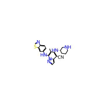 Cc1c(N[C@H]2CCCNC2)c(C#N)c2ccnn2c1Nc1ccc2ncsc2c1